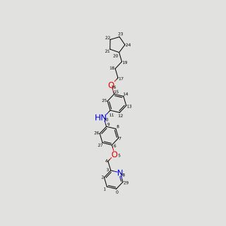 c1ccc(COc2ccc(Nc3cccc(OCCCC4CCCC4)c3)cc2)nc1